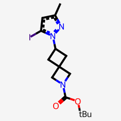 Cc1cc(I)n(C2CC3(C2)CN(C(=O)OC(C)(C)C)C3)n1